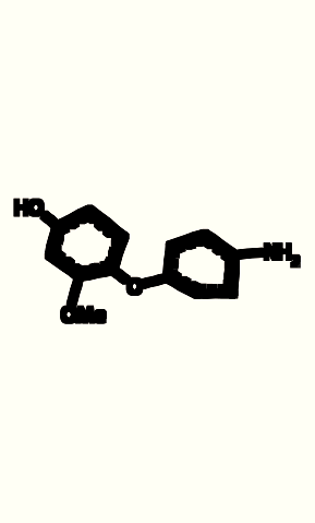 COc1cc(O)ccc1Oc1ccc(N)cc1